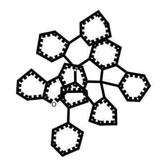 c1ccc(-c2ccc(N(c3ccccc3-c3ccccc3)c3cccc4c3C3(c5ccccc5-4)c4ccccc4-c4c3ccc3c4oc4ccccc43)cc2)cc1